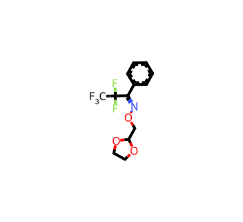 FC(F)(F)C(F)(F)C(=NOCC1OCCO1)c1ccccc1